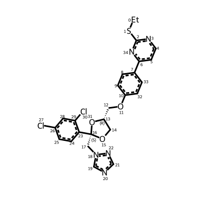 CCSc1nccc(-c2ccc(OC[C@@H]3CO[C@@](Cn4cncn4)(c4ccc(Cl)cc4Cl)O3)cc2)n1